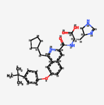 CC(C)(C)c1ccc(Oc2ccc3cc(C(=O)N[C@@H](CC4CNC=N4)C(=O)O)nc(CC4CCCC4)c3c2)cc1